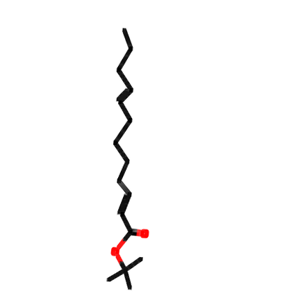 CCCC=CCCCCC=CC(=O)OC(C)(C)C